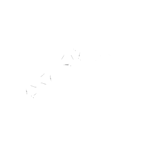 O[C@@H]1CO[C@H]2[C@@H]1OC[C@H]2Oc1nc2nc(OC3CCc4cc(-c5cccnc5)cc(F)c43)c(Cl)cc2[nH]1